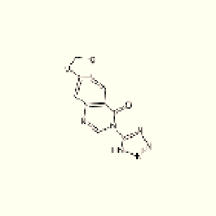 O=c1c2cc3c(cc2ncn1-c1nnn[nH]1)OCO3